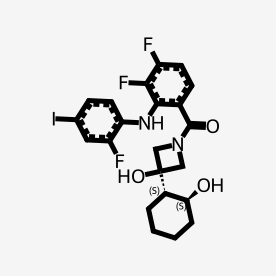 O=C(c1ccc(F)c(F)c1Nc1ccc(I)cc1F)N1CC(O)([C@H]2CCCC[C@@H]2O)C1